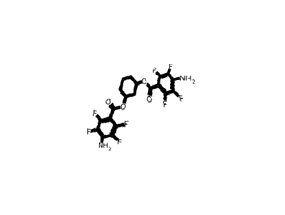 Nc1c(F)c(F)c(C(=O)OC2CCCC(OC(=O)c3c(F)c(F)c(N)c(F)c3F)C2)c(F)c1F